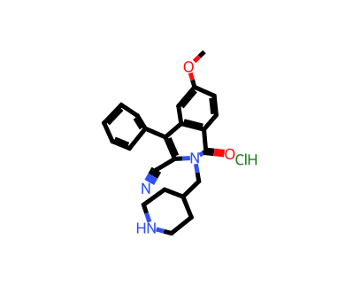 COc1ccc2c(=O)n(CC3CCNCC3)c(C#N)c(-c3ccccc3)c2c1.Cl